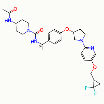 CC(=O)NC1CCN(C(=O)N[C@@H](C)c2ccc(OC3CCN(c4ccc(OCC5CC5(F)F)cn4)C3)cc2)CC1